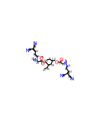 CCC(COC(=O)CN(C)/C=C/C=C(C#N)C#N)CC(CC)COC(=O)CN(C)/C=C/C=C(C#N)C#N